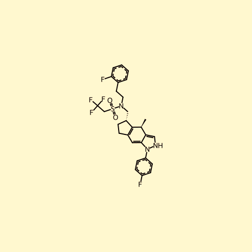 C[C@H]1C2=CNN(c3ccc(F)cc3)C2=CC2=C1[C@@H](CN(CCc1ccccc1F)S(=O)(=O)CC(F)(F)F)CC2